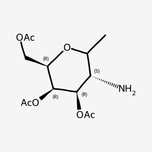 CC(=O)OC[C@H]1OC(C)[C@H](N)[C@@H](OC(C)=O)[C@H]1OC(C)=O